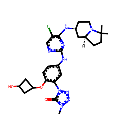 Cn1nnn(-c2cc(Nc3ncc(F)c(N[C@H]4CCN5[C@@H](CCC5(C)C)C4)n3)ccc2OC2CC(O)C2)c1=O